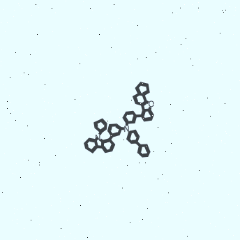 c1ccc(-c2ccc(N(c3cccc(-c4cccc5oc6c7ccccc7ccc6c45)c3)c3cccc(-c4cccc5c6ccccc6n(-c6ccccc6)c45)c3)cc2)cc1